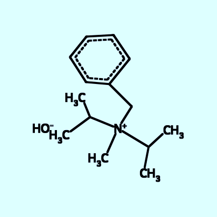 CC(C)[N+](C)(Cc1ccccc1)C(C)C.[OH-]